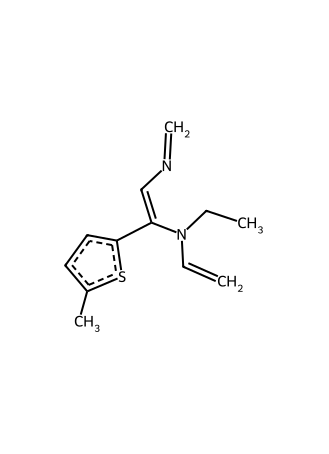 C=CN(CC)/C(=C\N=C)c1ccc(C)s1